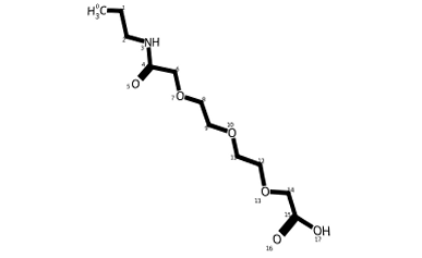 CCCNC(=O)COCCOCCOCC(=O)O